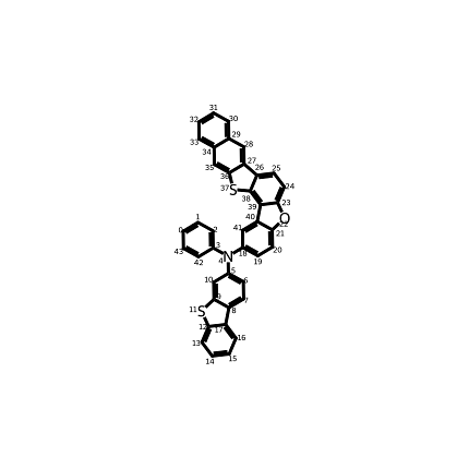 c1ccc(N(c2ccc3c(c2)sc2ccccc23)c2ccc3oc4ccc5c6cc7ccccc7cc6sc5c4c3c2)cc1